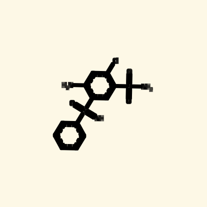 N=S(=O)(c1ccccc1)c1cc(S(N)(=O)=O)c(Cl)cc1N